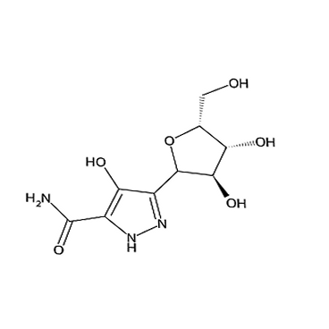 NC(=O)c1[nH]nc(C2O[C@H](CO)[C@H](O)[C@H]2O)c1O